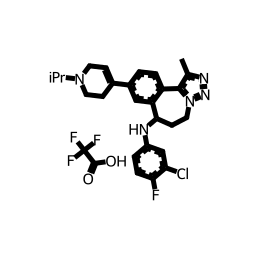 Cc1nnn2c1-c1ccc(C3=CCN(C(C)C)CC3)cc1C(Nc1ccc(F)c(Cl)c1)CC2.O=C(O)C(F)(F)F